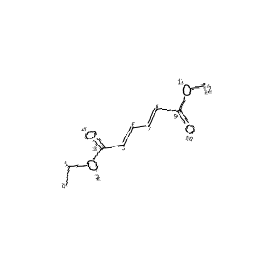 CCOC(=O)C=CC=CC(=O)OC